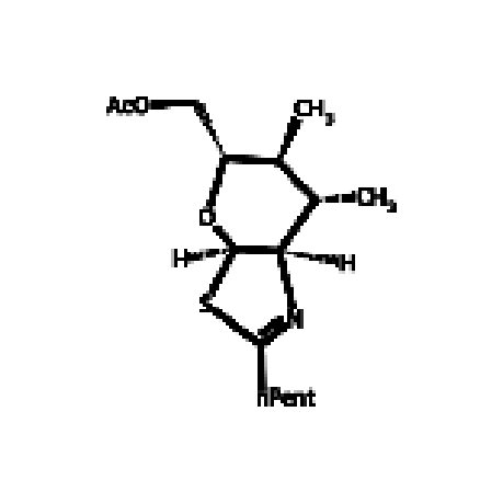 CCCCCC1=N[C@@H]2[C@@H](C)[C@H](C)[C@@H](COC(C)=O)O[C@@H]2S1